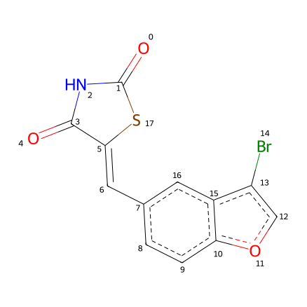 O=C1NC(=O)C(=Cc2ccc3occ(Br)c3c2)S1